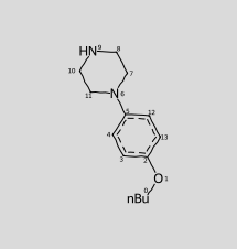 CCCCOc1ccc(N2CCNCC2)cc1